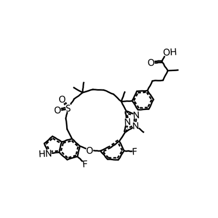 CC(CCc1cccc(C2(C)CCCC(C)(C)CS(=O)(=O)CCc3c(c(F)cc4[nH]ccc34)Oc3ccc(F)c(c3)-c3nc2nn3C)c1)C(=O)O